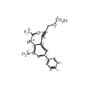 CCOC(=O)OCC#Cc1cc(-c2cccnc2)cc([N+](=O)[O-])c1NC(=O)C(F)(F)F